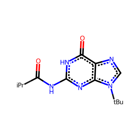 CC(C)C(=O)Nc1nc2c(ncn2C(C)(C)C)c(=O)[nH]1